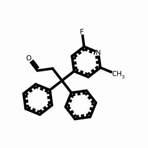 Cc1cc(C(CC=O)(c2ccccc2)c2ccccc2)cc(F)n1